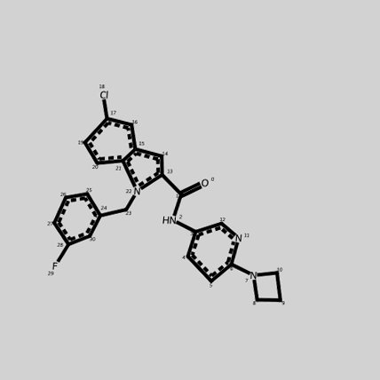 O=C(Nc1ccc(N2CCC2)nc1)c1cc2cc(Cl)ccc2n1Cc1cccc(F)c1